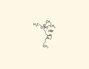 Br.CCCCN1CCN=C1CCC[Si](OCC)(OCC)OCC